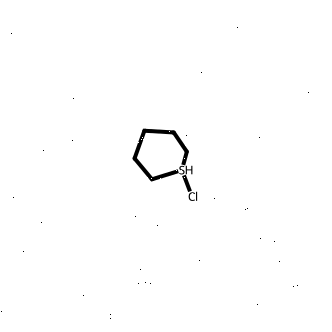 Cl[SH]1CCCCC1